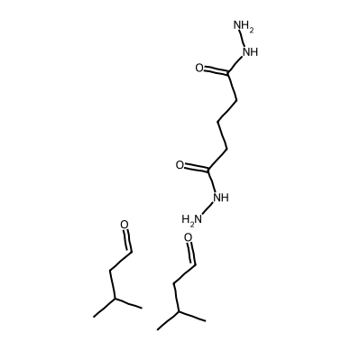 CC(C)CC=O.CC(C)CC=O.NNC(=O)CCCC(=O)NN